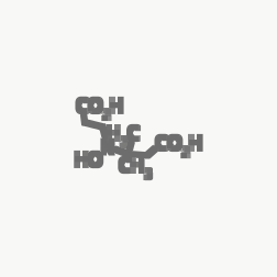 CC(C)(CC(=O)O)N(O)CCC(=O)O